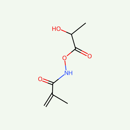 C=C(C)C(=O)NOC(=O)C(C)O